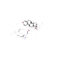 CCC(=O)[C@@]1(C)[C@H](C)C[C@H]2[C@@H]3CCC4=CC(=O)C=C[C@]4(C)[C@H]3[C@@H](OC(=O)CCn3cnc(CC(NC(O)C(C)N)C(=O)O)c3)C[C@@]21C